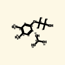 CC(C)(O)C(C)(C)Oc1ccc(N)c([N+](=O)[O-])c1.OB(O)O